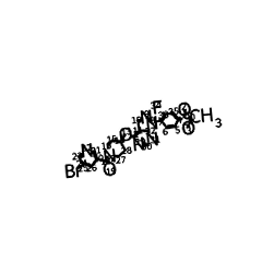 CS(=O)(=O)c1ccc(-n2ncc3c(OC4CCN(C(=O)c5cncc(Br)c5)CC4)ncnc32)c(F)c1